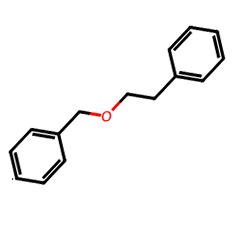 [c]1ccc(COCCc2ccccc2)cc1